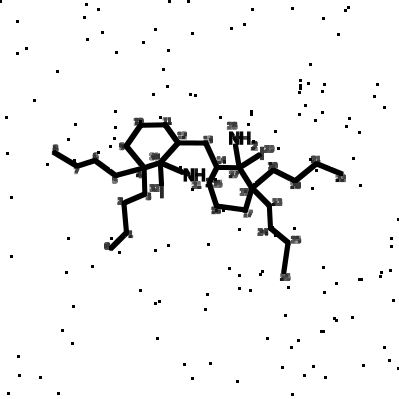 CCCCC1(CCCC)CCCC(CC2CCCC(CCCC)(CCCC)C2(N)I)C1(N)I